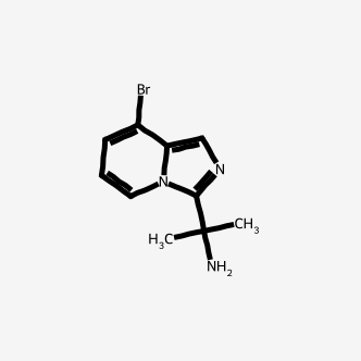 CC(C)(N)c1ncc2c(Br)cccn12